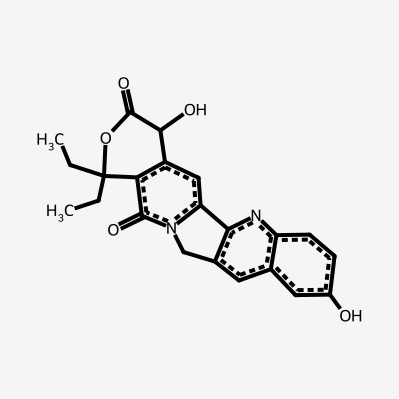 CCC1(CC)OC(=O)C(O)c2cc3n(c(=O)c21)Cc1cc2cc(O)ccc2nc1-3